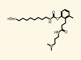 CCCCCCCCCCCCCCCCCCNC(=O)Oc1cccc(C)c1CCC(=O)NCCCN(C)C